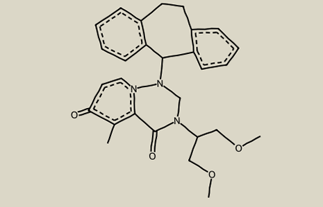 COCC(COC)N1CN(C2c3ccccc3CCc3ccccc32)n2ccc(=O)c(C)c2C1=O